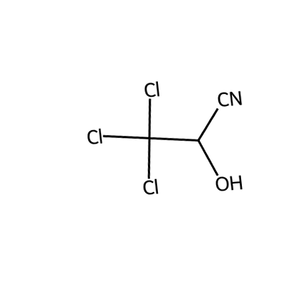 N#CC(O)C(Cl)(Cl)Cl